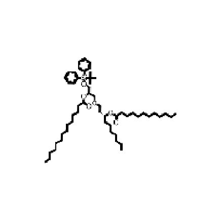 CCCCCCCCCCCCCC(=O)OC(COCC[C@@H](CCCCCCC)OC(=O)CCCCCCCCCCC)CO[Si](c1ccccc1)(c1ccccc1)C(C)(C)C